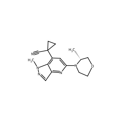 C[C@@H]1COCCN1c1cc(C2(C#N)CC2)c2c(cnn2C)n1